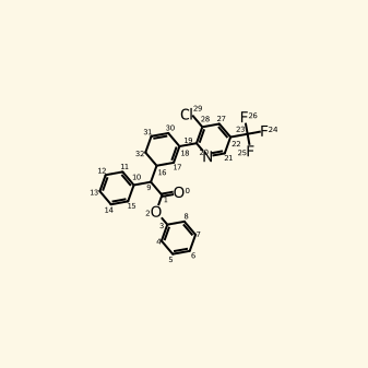 O=C(Oc1ccccc1)C(c1ccccc1)C1C=C(c2ncc(C(F)(F)F)cc2Cl)C=CC1